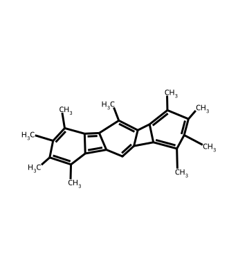 Cc1c(C)c(C)c2c(c1C)c1cc3c4c(C)c(C)c(C)c(C)c4c3c(C)c12